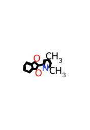 Cc1cc(C)nc(C2C(=O)c3ccccc3C2=O)c1